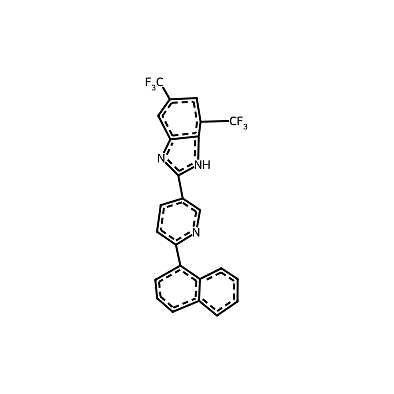 FC(F)(F)c1cc(C(F)(F)F)c2[nH]c(-c3ccc(-c4cccc5ccccc45)nc3)nc2c1